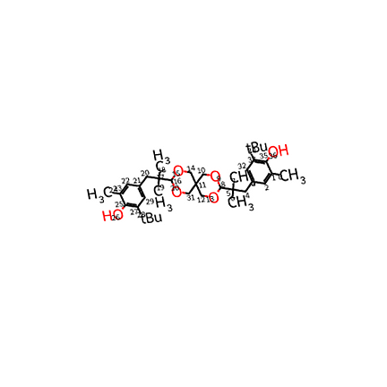 Cc1cc(CC(C)(C)C2OCC3(CO2)COC(C(C)(C)Cc2cc(C)c(O)c(C(C)(C)C)c2)OC3)cc(C(C)(C)C)c1O